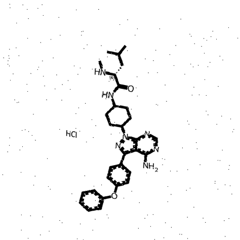 CN[C@H](CC(C)C)C(=O)NC1CCC(n2nc(-c3ccc(Oc4ccccc4)cc3)c3c(N)ncnc32)CC1.Cl